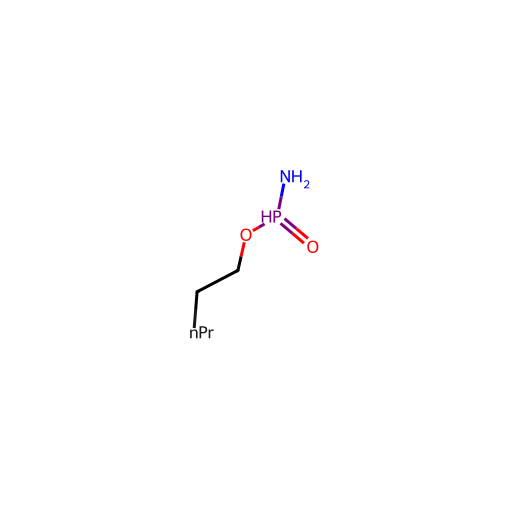 CCCCCO[PH](N)=O